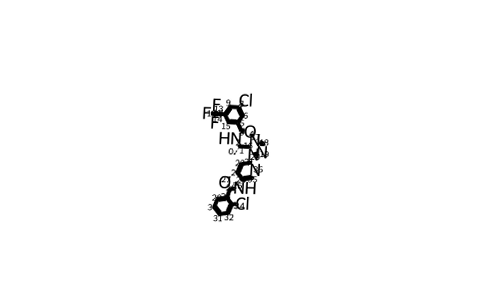 C[C@H](NC(=O)c1cc(Cl)cc(C(F)(F)F)c1)c1ncnn1-c1ccc(NC(=O)c2ccccc2Cl)cn1